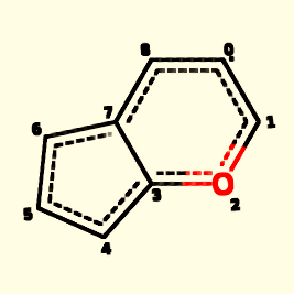 [c]1coc2cccc-2c1